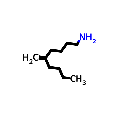 C=C(CCCC)CCCCN